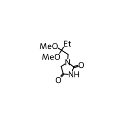 CCC(CN1CC(=O)NC1=O)(OC)OC